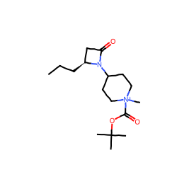 CCC[C@H]1CC(=O)N1C1CC[N+](C)(C(=O)OC(C)(C)C)CC1